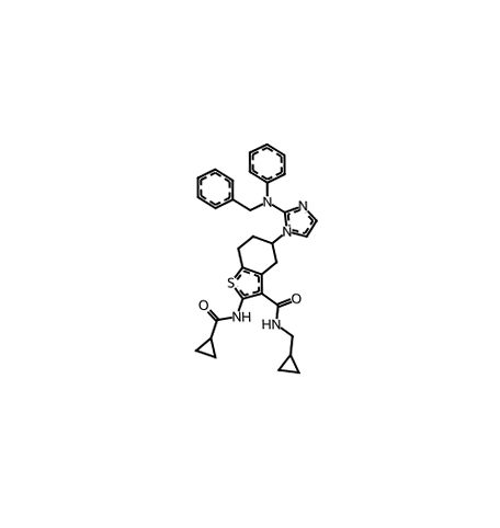 O=C(NCC1CC1)c1c(NC(=O)C2CC2)sc2c1CC(n1ccnc1N(Cc1ccccc1)c1ccccc1)CC2